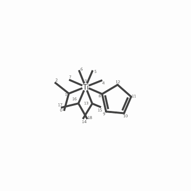 C[CH](C)[Ti]([CH3])([CH3])([CH3])([CH3])([C]1=CC=CC1)([CH](C)C)[CH](C)C